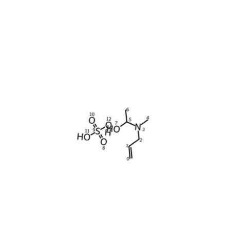 C=CCN(C)C(C)O.O=S(=O)(O)O